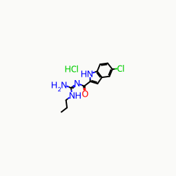 CCCNC(N)=NC(=O)c1cc2cc(Cl)ccc2[nH]1.Cl